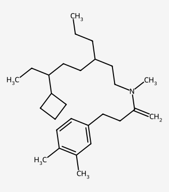 C=C(CCc1ccc(C)c(C)c1)N(C)CCC(CCC)CCC(CC)C1CCC1